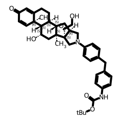 CC(C)(C)OC(=O)Nc1ccc(Cc2ccc(N3C[C@@H]4C[C@H]5[C@@H]6CCC7=CC(=O)C=C[C@]7(C)[C@H]6[C@@H](O)C[C@]5(C)[C@]4(C(=O)CO)C3)cc2)cc1